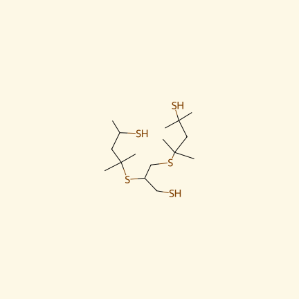 CC(S)CC(C)(C)SC(CS)CSC(C)(C)CC(C)(C)S